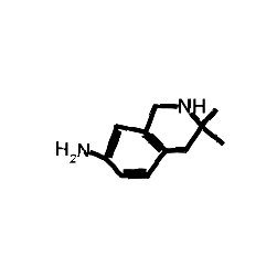 CC1(C)Cc2ccc(N)cc2CN1